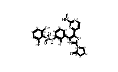 CNc1nccc(-c2sc(N3CCCC3=O)nc2-c2cccc(NS(=O)(=O)c3c(F)cccc3F)c2F)n1